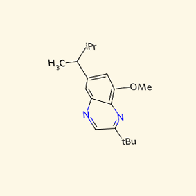 COc1cc(C(C)C(C)C)cc2ncc(C(C)(C)C)nc12